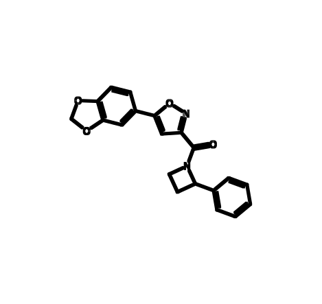 O=C(c1cc(-c2ccc3c(c2)OCO3)on1)N1CCC1c1ccccc1